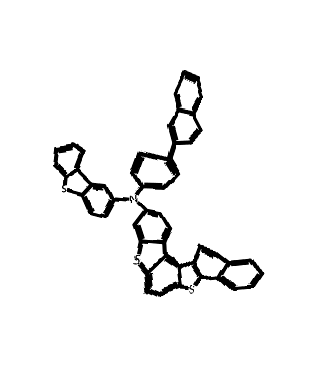 c1ccc2cc(-c3ccc(N(c4ccc5c(c4)sc4ccc6sc7c8ccccc8ccc7c6c45)c4ccc5sc6ccccc6c5c4)cc3)ccc2c1